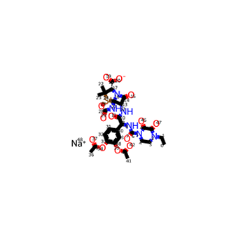 CCN1CCN(C(=O)NC(C(=O)N[C@H]2C(=O)N3[C@@H](C(=O)[O-])C(C)(C)[S+]([O-])C23NC=O)c2ccc(OC(C)=O)c(OC(C)=O)c2)C(=O)C1=O.[Na+]